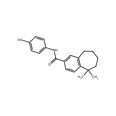 CC1(C)CCCCc2cc(C(=O)Nc3ccc(O)cc3)ccc21